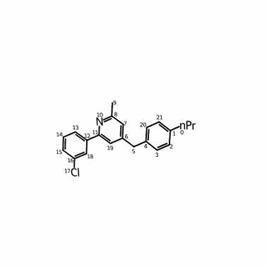 CCCc1ccc(Cc2cc(C)nc(-c3cccc(Cl)c3)c2)cc1